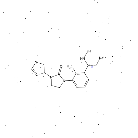 CN/C=C(\NS)c1cccc(N2CCN(c3ccsc3)C2=O)c1C